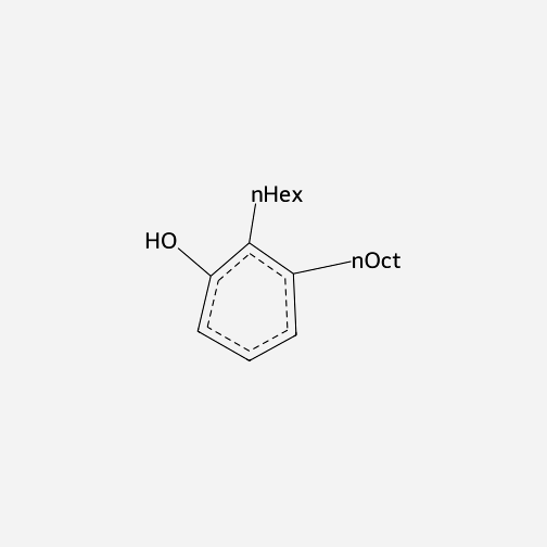 CCCCCCCCc1cccc(O)c1CCCCCC